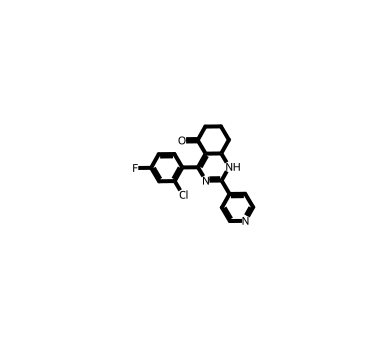 O=C1CCCC2NC(c3ccncc3)=NC(c3ccc(F)cc3Cl)=C12